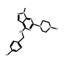 CCN1CCN(c2nc(NCc3ccc(Cl)cc3)c3cnn(C)c3n2)CC1